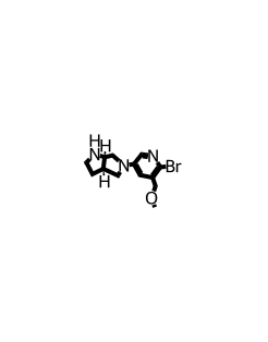 COCc1cc(N2C[C@H]3CCN[C@H]3C2)cnc1Br